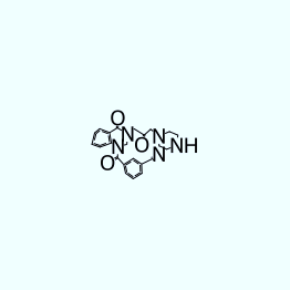 N#Cc1cccc(C(=O)N2CN(CC(=O)CN3CCNCC3)C(=O)c3ccccc32)c1